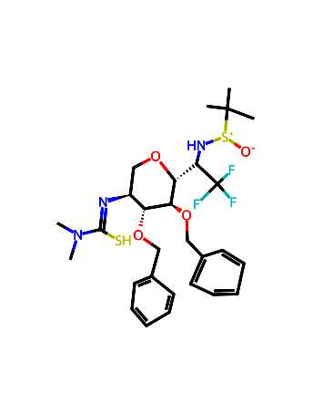 CN(C)/C(S)=N/[C@H]1CO[C@H](C(N[S+]([O-])C(C)(C)C)C(F)(F)F)[C@@H](OCc2ccccc2)[C@@H]1OCc1ccccc1